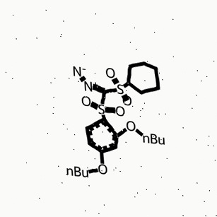 CCCCOc1ccc(S(=O)(=O)C(=[N+]=[N-])S(=O)(=O)C2CCCCC2)c(OCCCC)c1